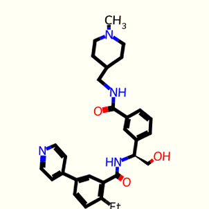 CCc1ccc(-c2ccncc2)cc1C(=O)N[C@H](CO)c1cccc(C(=O)NCC2CCN(C)CC2)c1